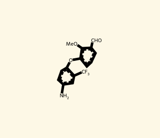 COc1c(C=O)cccc1Oc1ccc(N)cc1C(F)(F)F